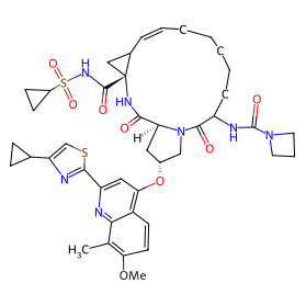 COc1ccc2c(O[C@@H]3C[C@H]4C(=O)N[C@]5(C(=O)NS(=O)(=O)C6CC6)CC5/C=C\CCCCCC(NC(=O)N5CCC5)C(=O)N4C3)cc(-c3nc(C4CC4)cs3)nc2c1C